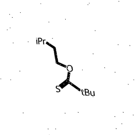 CC(C)CCOC(=S)C(C)(C)C